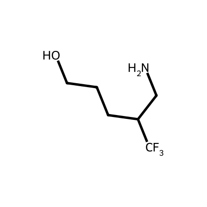 NCC(CCCO)C(F)(F)F